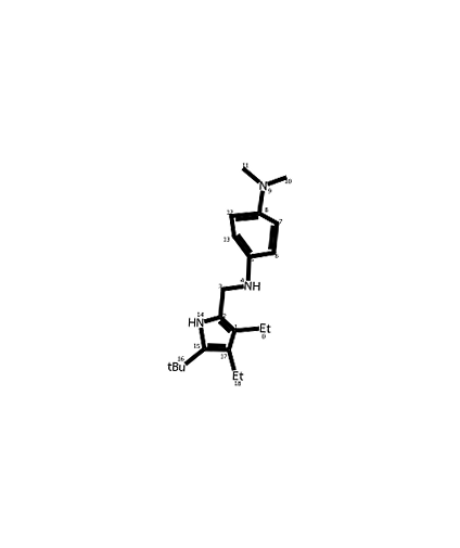 CCc1c(CNc2ccc(N(C)C)cc2)[nH]c(C(C)(C)C)c1CC